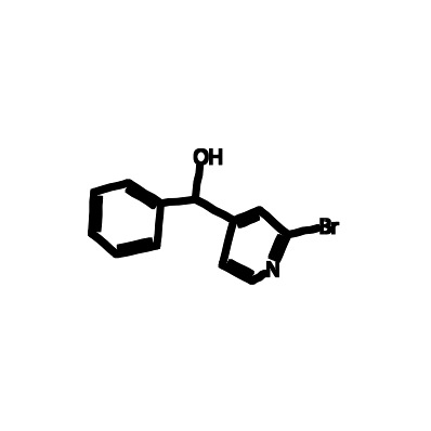 OC(c1ccccc1)c1ccnc(Br)c1